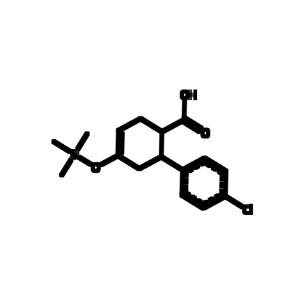 C[Si](C)(C)OC1=CCC(C(=O)O)C(c2ccc(Cl)cc2)C1